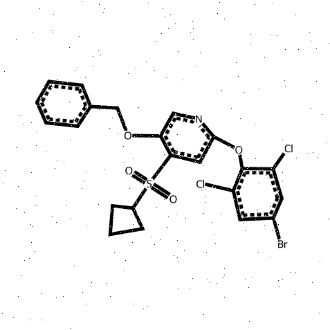 O=S(=O)(c1cc(Oc2c(Cl)cc(Br)cc2Cl)ncc1OCc1ccccc1)C1CCC1